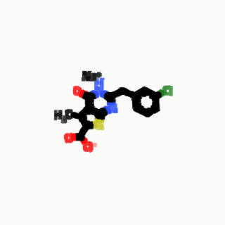 Cc1c(C(=O)[O-])sc2nc(Cc3cccc(Cl)c3)[nH]c(=O)c12.[Na+]